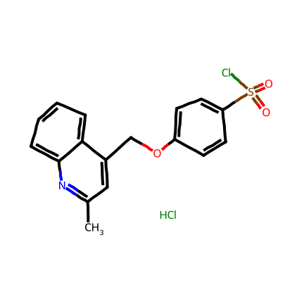 Cc1cc(COc2ccc(S(=O)(=O)Cl)cc2)c2ccccc2n1.Cl